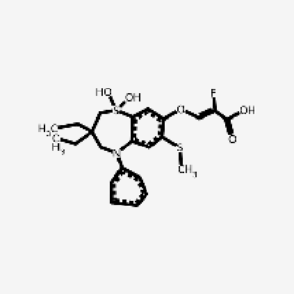 CCC1(CC)CN(c2ccccc2)c2cc(SC)c(O/C=C(\F)C(=O)O)cc2S(O)(O)C1